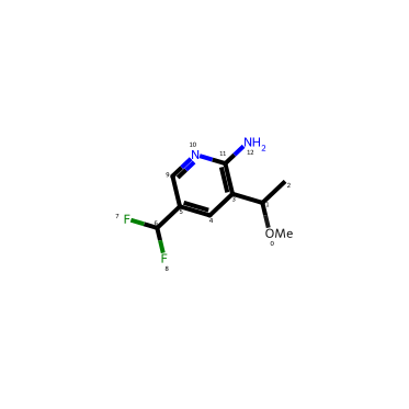 COC(C)c1cc(C(F)F)cnc1N